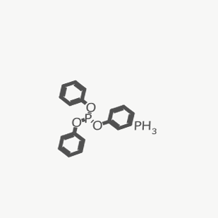 P.c1ccc(OP(Oc2ccccc2)Oc2ccccc2)cc1